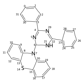 c1ccc(C2=NC(N3c4ccccc4Sc4ccccc43)NC(c3ccccc3)=N2)cc1